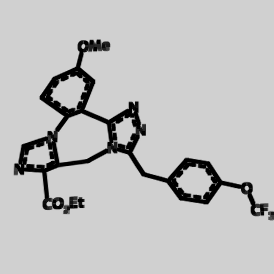 CCOC(=O)c1ncn2c1Cn1c(Cc3ccc(OC(F)(F)F)cc3)nnc1-c1cc(OC)ccc1-2